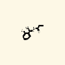 CCC(=O)ON=C(Cl)c1ccccc1Cl